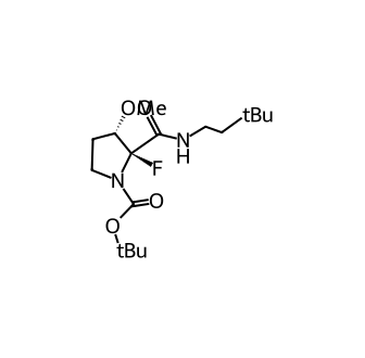 CO[C@H]1CCN(C(=O)OC(C)(C)C)[C@@]1(F)C(=O)NCCC(C)(C)C